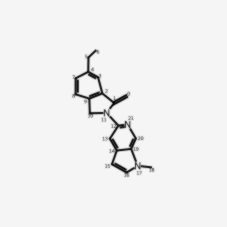 C=C1c2cc(CC)ccc2CN1c1cc2ccn(C)c2cn1